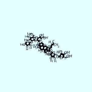 CC(C)=CCC[C@](C)(O[C@@H]1O[C@H](CO[C@@H]2O[C@@H](CO)[C@H](O)[C@H]2O)[C@@H](O)[C@H](O)[C@H]1O)[C@H]1CC[C@]2(C)[C@@H]1[C@H](O)C[C@@H]1[C@@]3(C)CC[C@H](O[C@@H]4O[C@H](CO)[C@@H](O)[C@H](O)[C@H]4O[C@@H]4O[C@H](CO)[C@@H](O)[C@H](O)[C@H]4O[C@@H]4OC[C@@H](O)[C@H](O)[C@H]4O)C(C)(C)[C@@H]3CC[C@]12C